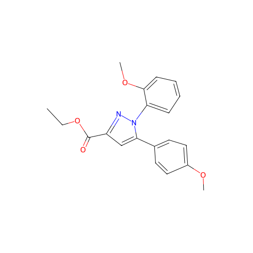 CCOC(=O)c1cc(-c2ccc(OC)cc2)n(-c2ccccc2OC)n1